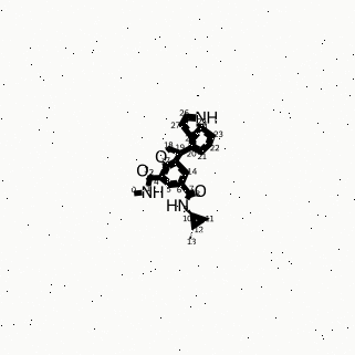 CNC(=O)c1cc(C(=O)N[C@H]2C[C@@H]2C)cc2c1OCC2c1cccc2[nH]ccc12